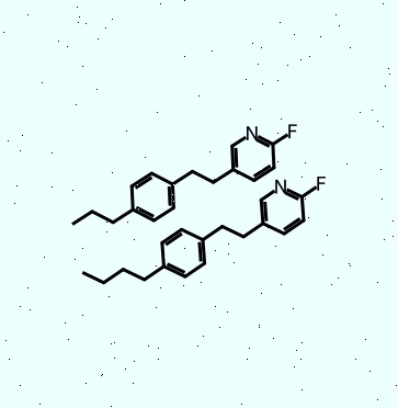 CCCCc1ccc(CCc2ccc(F)nc2)cc1.CCCc1ccc(CCc2ccc(F)nc2)cc1